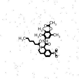 CCCCCC(=O)N1CCc2ccc([N+](=O)[O-])cc2C1C(=O)Nc1cc(C)c(OC(C)=O)c(C)c1C